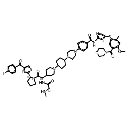 CN[C@@H](C)C(=O)N[C@H](C(=O)N1CCC[C@H]1c1nc(C(=O)c2ccc(F)cc2)cs1)C1CCN(C2CCC(N3CCN(c4ccc(C(=O)Nc5ncc(Sc6cc(C(=O)N7CCOCC7)c(OC)cc6C)s5)cc4)CC3)CC2)CC1